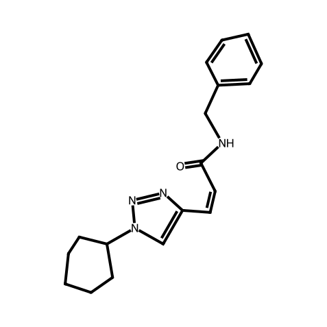 O=C(/C=C\c1cn(C2CCCCC2)nn1)NCc1ccccc1